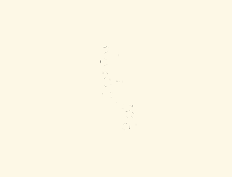 Cc1ncsc1-c1ccc([C@H](C)NC(=O)[C@@H]2C[C@@H](O)CN2C(=O)C(NC(=O)CC2(O)CCN(c3cc(-c4ccccc4O)nnc3N)CC2)C(C)(C)C)cc1